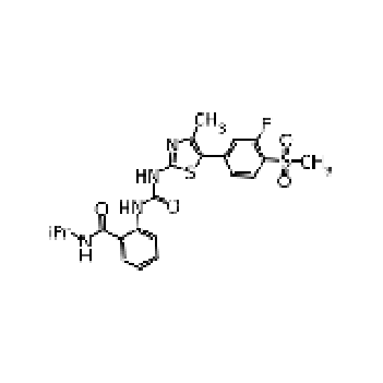 Cc1nc(NC(=O)Nc2ccccc2C(=O)NC(C)C)sc1-c1ccc(S(C)(=O)=O)c(F)c1